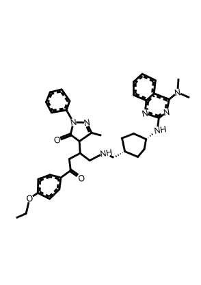 CCOc1ccc(C(=O)CC(CNC[C@H]2CC[C@@H](Nc3nc(N(C)C)c4ccccc4n3)CC2)C2C(=O)N(c3ccccc3)N=C2C)cc1